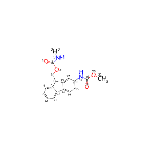 [2H]NC(=O)OCC1c2ccccc2-c2ccc(NC(=O)OC)cc21